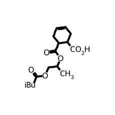 CCC(C)C(=O)OCC(C)OC(=O)C1CC=CCC1C(=O)O